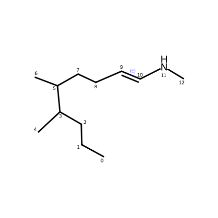 CCCC(C)C(C)CC/C=C/NC